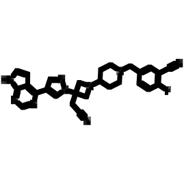 N#CCC1(n2cc(-c3ncnc4[nH]ccc34)cn2)CN(C2CCN(Cc3ccc(F)c(C#N)c3)CC2)C1